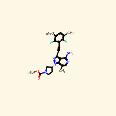 COc1cc(OC)c(F)c(C#Cc2nn([C@H]3CCN(C(=O)OC(C)(C)C)C3)c3c(C)cnc(N)c23)c1F